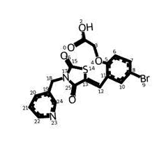 O=C(O)COc1ccc(Br)cc1/C=C1\SC(=O)N(Cc2cccnc2)C1=O